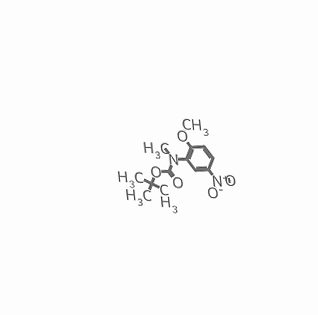 COc1ccc([N+](=O)[O-])cc1N(C)C(=O)OC(C)(C)C